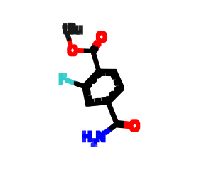 CC(C)(C)OC(=O)c1ccc(C(N)=O)cc1F